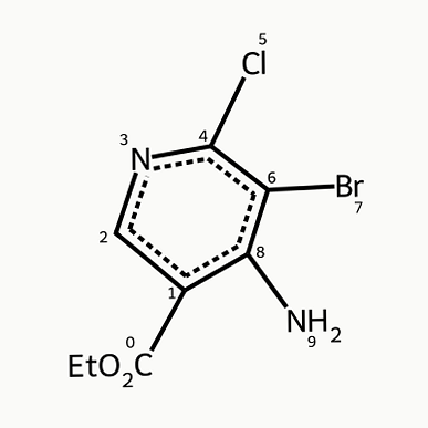 CCOC(=O)c1cnc(Cl)c(Br)c1N